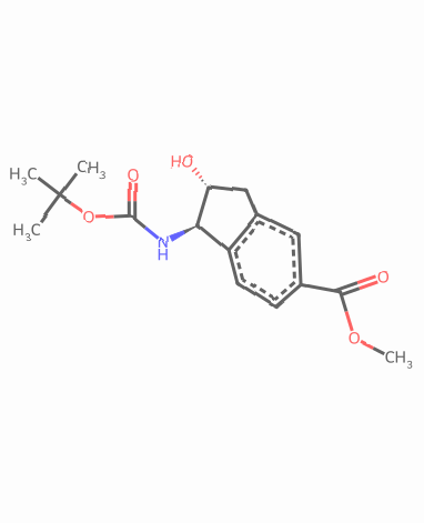 COC(=O)c1ccc2c(c1)C[C@@H](O)[C@@H]2NC(=O)OC(C)(C)C